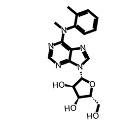 Cc1ccccc1N(C)c1ncnc2c1ncn2[C@@H]1O[C@H](CO)[C@@H](O)[C@H]1O